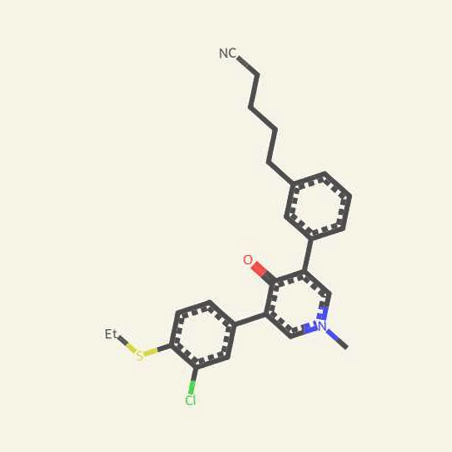 CCSc1ccc(-c2cn(C)cc(-c3cccc(CCCCC#N)c3)c2=O)cc1Cl